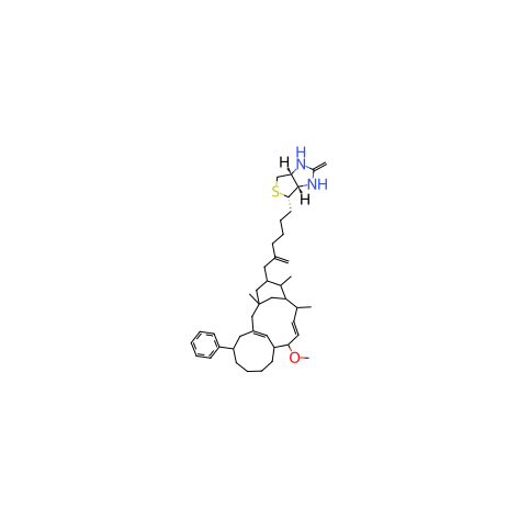 C=C(CCCC[C@@H]1SC[C@@H]2NC(=C)N[C@@H]21)CC1CC2(C)C/C3=C/C(CCCCC(c4ccccc4)C3)C(OC)/C=C/C(C)C(C2)C1C